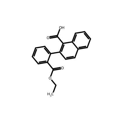 CCOC(=O)c1ccccc1-c1ccc2ccccc2c1C(=O)O